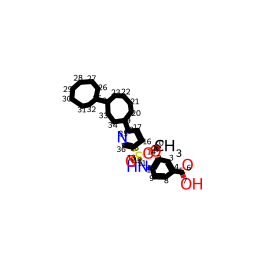 COc1cc(C(=O)O)ccc1NS(=O)(=O)c1ccc(C2CCCCC(C3CCCCCCC3)CC2)nc1